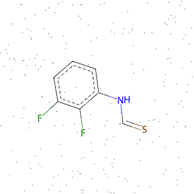 Fc1cccc(N[C]=S)c1F